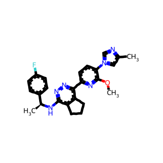 COc1nc(-c2nnc(N[C@@H](C)c3ccc(F)cc3)c3c2CCC3)ccc1-n1cnc(C)c1